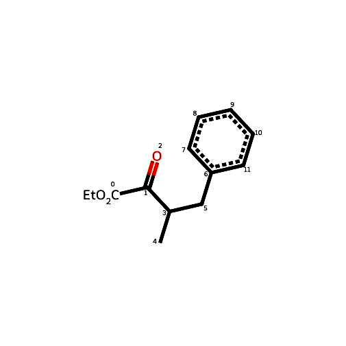 CCOC(=O)C(=O)C(C)Cc1ccccc1